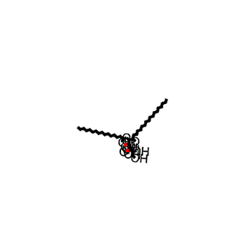 CCCCCCCCCCCCCCCC=CC(=O)C(OC(=O)CCCCCCCCCCCCCCC)[C@H](CO)OC(C(O)CO)P(=O)(O)O